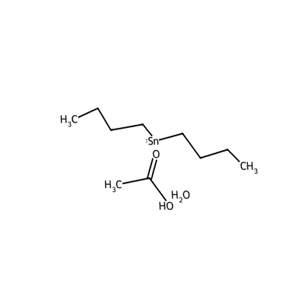 CC(=O)O.CCC[CH2][Sn][CH2]CCC.O